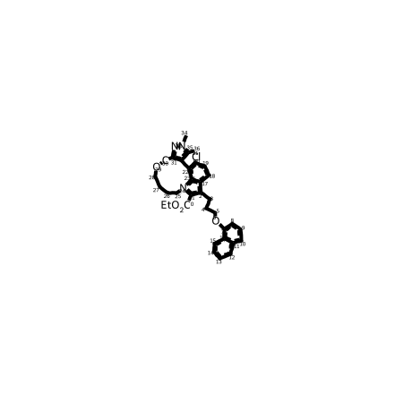 CCOC(=O)c1c(CCCOc2cccc3ccccc23)c2ccc(Cl)c3c2n1CCCCOCc1nn(C)c(C)c1-3